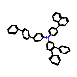 c1ccc(-c2ccc(-c3ccc(N(c4ccc(-c5cccc6ccccc56)cc4)c4ccc(-c5ccccc5)c(-c5ccccc5)c4)cc3)cc2)cc1